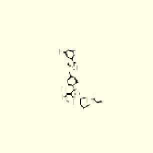 C=CC(=O)N1CCC[C@@H](n2nc(-c3ccc(CNS(=O)(=O)c4cc(F)cc(F)c4)cc3)c3c(N)ncnc32)C1